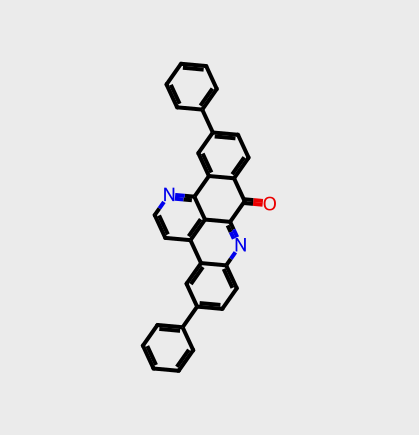 O=C1c2ccc(-c3ccccc3)cc2-c2nccc3c2c1nc1ccc(-c2ccccc2)cc13